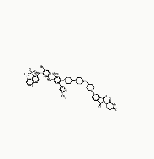 COc1cc(N2CCC(N3CCN(CC4CCN(c5ccc6c(c5)C(=O)N(C5CCC(=O)NC5=O)C6=O)CC4)CC3)CC2)c(-c2cnn(C)c2)cc1Nc1ncc(Br)c(Nc2ccc3nccnc3c2P(C)(C)=O)n1